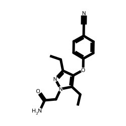 CCc1nn(CC(N)=O)c(CC)c1Oc1ccc(C#N)cc1